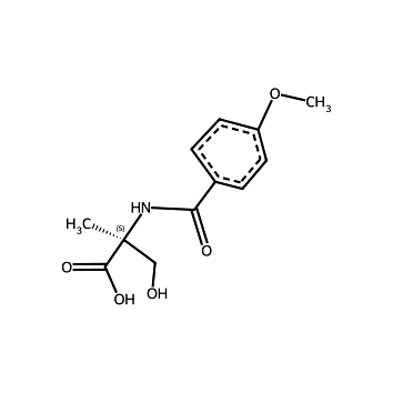 COc1ccc(C(=O)N[C@@](C)(CO)C(=O)O)cc1